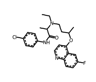 CCN(CCC(C)Oc1ccnc2ccc(F)cc12)C(C)C(=O)Nc1ccc(Cl)cc1